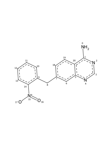 Nc1ncnc2cc(Cc3cc[c]cc3[N+](=O)[O-])ccc12